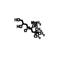 C[N+](C)(C)C/C(O)=[P+](\[O-])CC(O)CO.[MgH2]